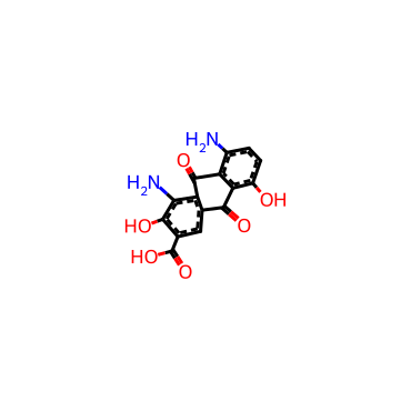 Nc1ccc(O)c2c1C(=O)c1c(cc(C(=O)O)c(O)c1N)C2=O